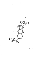 CC1([C@H]2CCc3nc4sc(C(=O)O)nc4cc3C2)CC1